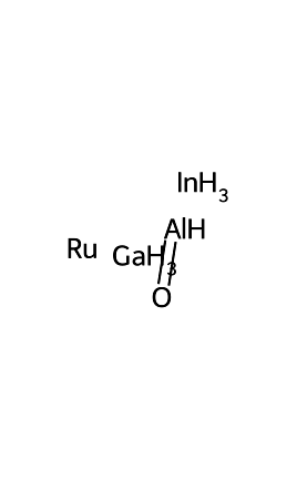 [GaH3].[InH3].[O]=[AlH].[Ru]